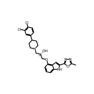 Cc1nnc(-c2cc3c(OC[C@@H](O)CN4CCC(c5ccc(Cl)c(Cl)c5)CC4)cccc3[nH]2)o1